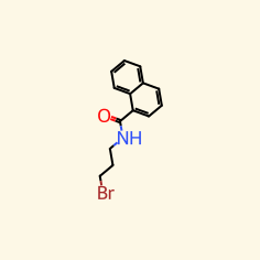 O=C(NCCCBr)c1cccc2ccccc12